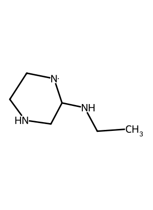 CCNC1CNCC[N]1